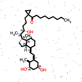 C=C1/C(=C\C=C2/CCC[C@]3(C)[C@@H]([C@H](C)[C@@H](O)CCCC4(C(=O)CCCCCCCC)CC4)CC[C@@H]23)C[C@@H](O)C[C@@H]1O